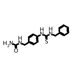 NC(=O)NCc1ccc(NC(=S)NCc2ccccc2)cc1